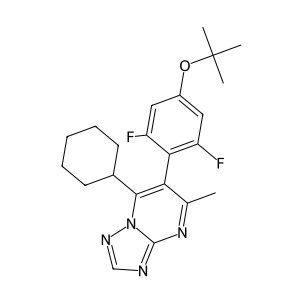 Cc1nc2ncnn2c(C2CCCCC2)c1-c1c(F)cc(OC(C)(C)C)cc1F